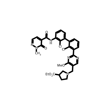 CCOC(=O)C1CCN(Cc2cnc(-c3cccc(-c4cccc(NC(=O)c5ccnn(C)c5=O)c4Cl)c3Cl)nc2OC)C1